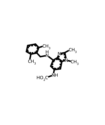 Cc1cccc(C)c1CNc1cc(NC(=O)O)cc2c1nc(C)n2C